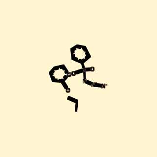 C=CC.O=c1cccco1.[N-]=[N+]=NS(=O)(=O)c1ccccc1